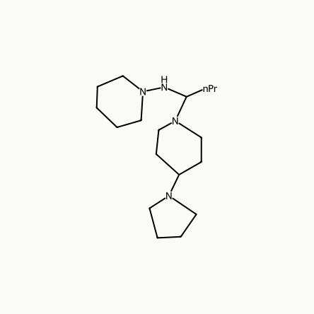 CCCC(NN1CCCCC1)N1CCC(N2CCCC2)CC1